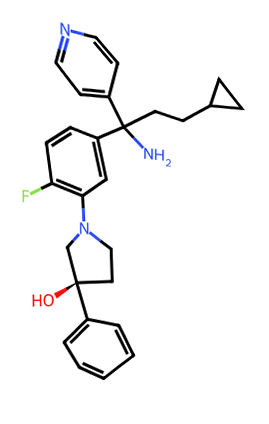 NC(CCC1CC1)(c1ccncc1)c1ccc(F)c(N2CC[C@](O)(c3ccccc3)C2)c1